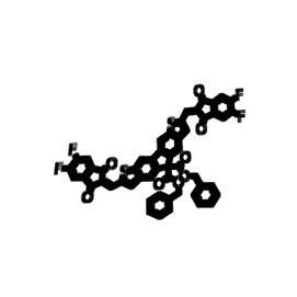 O=C1C(=Cc2cc3cc4c(cc3s2)-c2cc3sc(C=C5C(=O)c6cc(F)c(F)cc6C5=O)cc3cc2C4(C(=O)OCc2ccccc2)C(=O)OCc2ccccc2)C(=O)c2cc(F)c(F)cc21